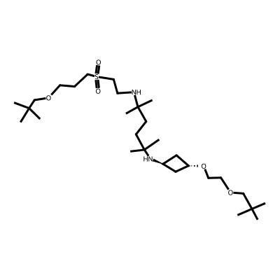 CC(C)(C)COCCCS(=O)(=O)CCNC(C)(C)CCC(C)(C)N[C@H]1C[C@H](OCCOCC(C)(C)C)C1